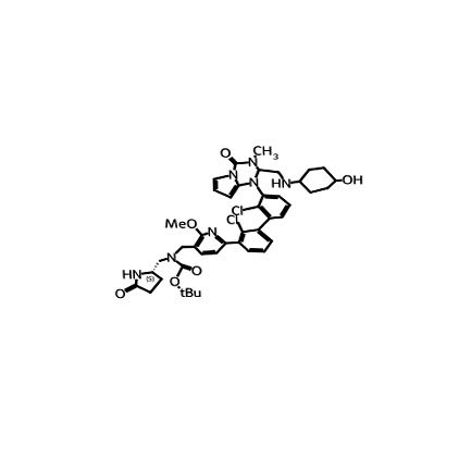 COc1nc(-c2cccc(-c3cccc(N4c5cccn5C(=O)N(C)C4CNC4CCC(O)CC4)c3Cl)c2Cl)ccc1CN(C[C@@H]1CCC(=O)N1)C(=O)OC(C)(C)C